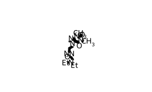 CCN(CC)Cc1nc(CCn2cnc3c2c(=O)n(C)c(=O)n3C)no1